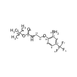 Bc1cc(C(F)(F)F)ccc1OCCNC(=O)OC(C)(C)C